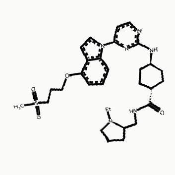 CCN1CCCC1CNC(=O)[C@H]1CC[C@H](Nc2nccc(-n3ccc4c(OCCCS(C)(=O)=O)cccc43)n2)CC1